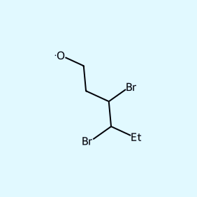 CCC(Br)C(Br)CC[O]